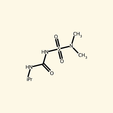 CC(C)NC(=O)NS(=O)(=O)N(C)C